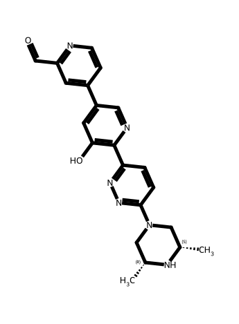 C[C@@H]1CN(c2ccc(-c3ncc(-c4ccnc(C=O)c4)cc3O)nn2)C[C@H](C)N1